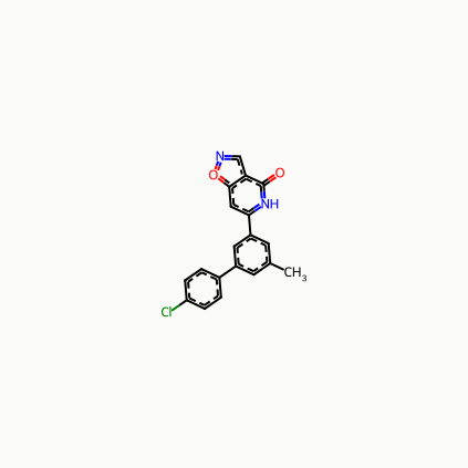 Cc1cc(-c2ccc(Cl)cc2)cc(-c2cc3oncc3c(=O)[nH]2)c1